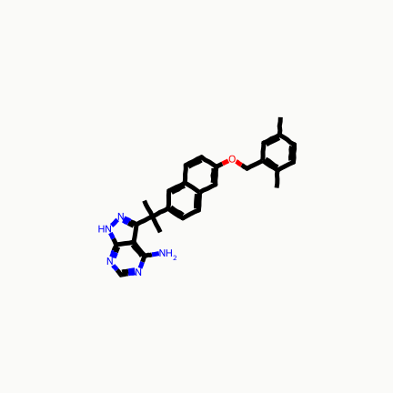 Cc1ccc(C)c(COc2ccc3cc(C(C)(C)c4n[nH]c5ncnc(N)c45)ccc3c2)c1